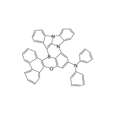 c1ccc(N(c2ccccc2)c2cc3c4c(c2)-n2c5ccccc5n5c6ccccc6c(c25)B4c2c(c4ccccc4c4ccccc24)O3)cc1